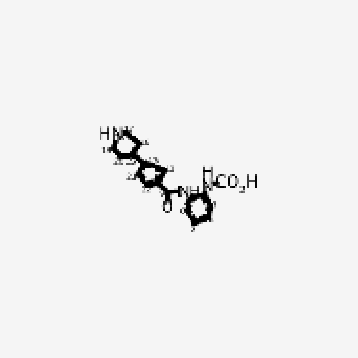 O=C(O)Nc1ccccc1NC(=O)c1ccc(C2CCNCC2)cc1